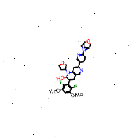 COc1cc(OC)c(F)c(C2=Cc3cnc(-c4ccc(N5CC6CC5CO6)nc4)cc3N(C3CCOC3)C2O)c1F